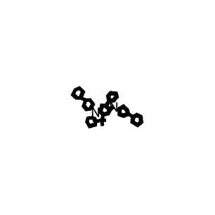 CC1(C)C2=C(CCC=C2)N(C2=CCC(C3=CCCC=C3)C=C2)c2cc3c4ccccc4n(-c4ccc(-c5ccccc5)cc4)c3cc21